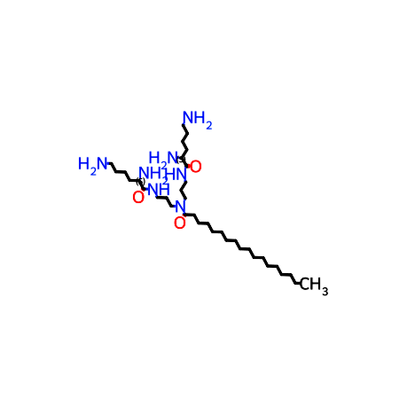 CCCCCCCCCCCCCCCCCC(=O)N(CCCNC(=O)[C@@H](N)CCCCN)CCCNC(=O)[C@@H](N)CCCCN